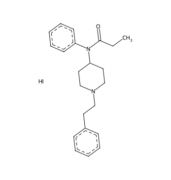 CCC(=O)N(c1ccccc1)C1CCN(CCc2ccccc2)CC1.I